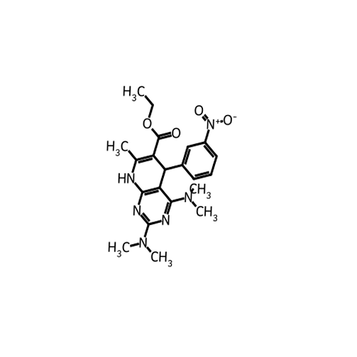 CCOC(=O)C1=C(C)Nc2nc(N(C)C)nc(N(C)C)c2C1c1cccc([N+](=O)[O-])c1